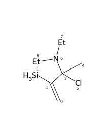 C=C([SiH3])C(C)(Cl)N(CC)CC